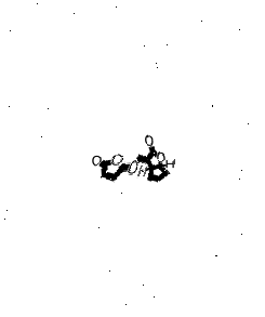 O=C1C=CC(O/C=C2/C(=O)O[C@@H]3CC=C[C@H]23)O1